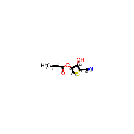 CC=CC(=O)Oc1csc(C#N)c1O